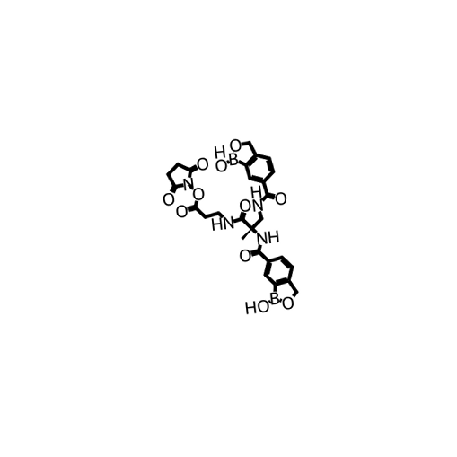 C[C@@](CNC(=O)c1ccc2c(c1)B(O)OC2)(NC(=O)c1ccc2c(c1)B(O)OC2)C(=O)NCCC(=O)ON1C(=O)CCC1=O